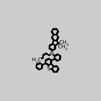 C=C/C=C\CN(c1ccc2c(c1)C(C)(C)c1cc3ccccc3cc1-2)c1ccccc1-c1ccc(-c2ccccc2)c2sc3ccccc3c12